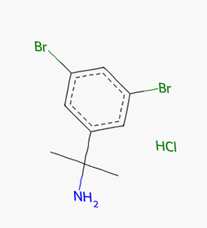 CC(C)(N)c1cc(Br)cc(Br)c1.Cl